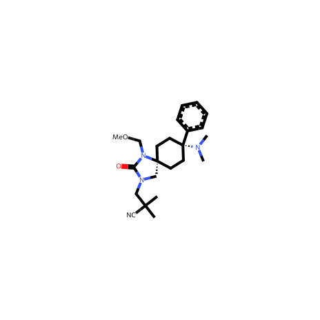 COCN1C(=O)N(CC(C)(C)C#N)C[C@]12CC[C@@](c1ccccc1)(N(C)C)CC2